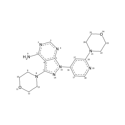 Nc1ncnc2c1c(N1CCOCC1)nn2-c1ccnc(N2CCOCC2)c1